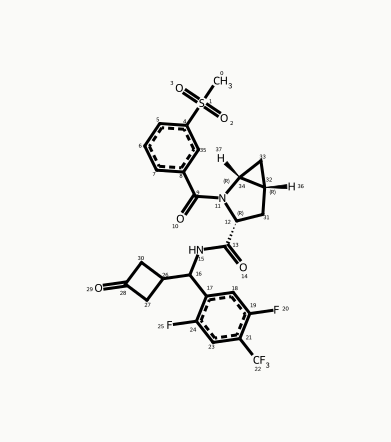 CS(=O)(=O)c1cccc(C(=O)N2[C@@H](C(=O)NC(c3cc(F)c(C(F)(F)F)cc3F)C3CC(=O)C3)C[C@H]3C[C@H]32)c1